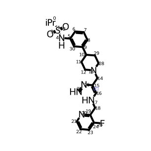 CC(C)S(=O)(=O)Nc1cccc(C2CCN(C/C(=C/NCc3ncccc3F)N=N)CC2)c1